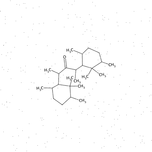 CC1CCC(C)C(C)(C)C1C(C)C(=O)C(C)C1C(C)CCC(C)C1(C)C